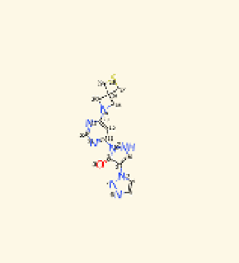 O=c1c(-n2ccnn2)c[nH]n1-c1cc(N2CC3(CSC3)C2)ncn1